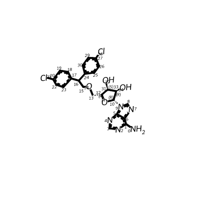 Nc1ncnc2c1ncn2[C@@H]1O[C@H](COCC(c2ccc(Cl)cc2)c2ccc(Cl)cc2)[C@@H](O)[C@H]1O